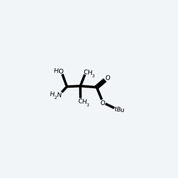 CC(C)(C)OC(=O)C(C)(C)C(N)O